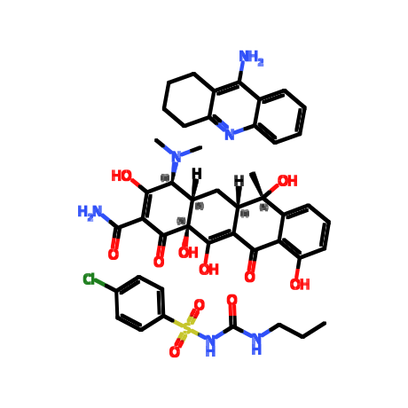 CCCNC(=O)NS(=O)(=O)c1ccc(Cl)cc1.CN(C)[C@@H]1C(O)=C(C(N)=O)C(=O)[C@@]2(O)C(O)=C3C(=O)c4c(O)cccc4[C@@](C)(O)[C@H]3C[C@@H]12.Nc1c2c(nc3ccccc13)CCCC2